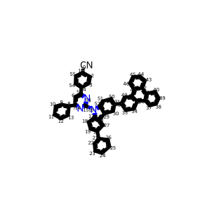 N#Cc1ccc(-c2cc(-c3ccccc3)nc(-n3c4ccc(-c5ccccc5)cc4c4cc(-c5ccc6c7ccccc7c7ccccc7c6c5)ccc43)n2)cc1